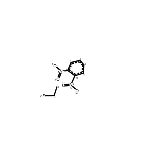 CCF.O=[N+]([O-])c1ccccc1[N+](=O)[O-]